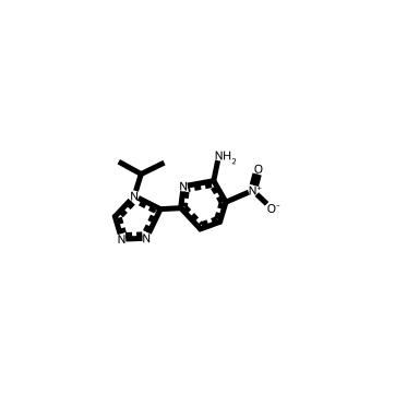 CC(C)n1cnnc1-c1ccc([N+](=O)[O-])c(N)n1